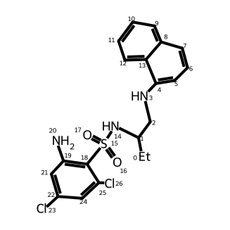 CCC(CNc1cccc2ccccc12)NS(=O)(=O)c1c(N)cc(Cl)cc1Cl